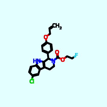 C=CCOc1ccc(C2c3[nH]c4ccc(Cl)cc4c3CCN2C(=O)OCCF)cc1